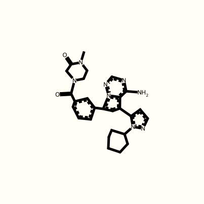 CN1CCN(C(=O)c2cccc(-c3cc(-c4ccnn4C4CCCCC4)c4c(N)ncnn34)c2)CC1=O